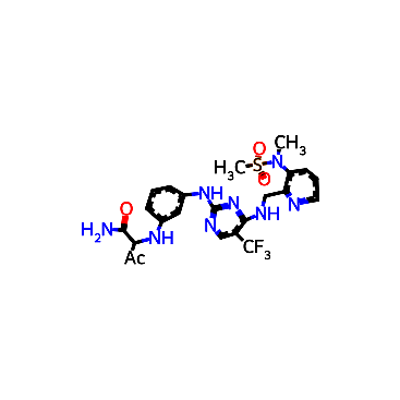 CC(=O)C(Nc1cccc(Nc2ncc(C(F)(F)F)c(NCc3ncccc3N(C)S(C)(=O)=O)n2)c1)C(N)=O